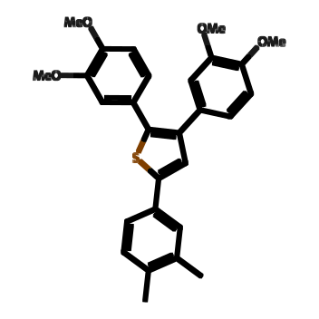 COc1ccc(-c2cc(-c3ccc(C)c(C)c3)sc2-c2ccc(OC)c(OC)c2)cc1OC